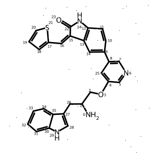 NC(COc1cncc(-c2ccc3c(c2)C(=Cc2cccs2)C(=O)N3)c1)Cc1c[nH]c2ccccc12